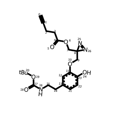 C#CCCC(=O)OCC1(COc2cc(CCNC(=O)OC(C)(C)C)ccc2O)N=N1